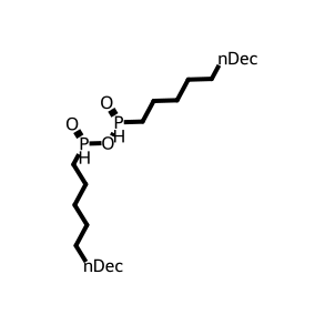 CCCCCCCCCCCCCCC[PH](=O)O[PH](=O)CCCCCCCCCCCCCCC